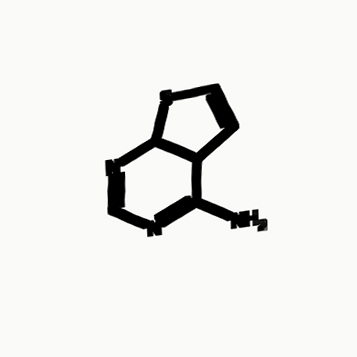 NC1=NC=NC2SC=CC12